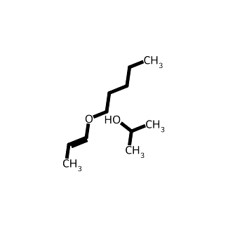 CC(C)O.CC=COCCCCC